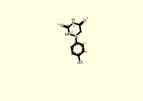 CCc1ccc(N2CC(=O)NC(=O)N2)cc1